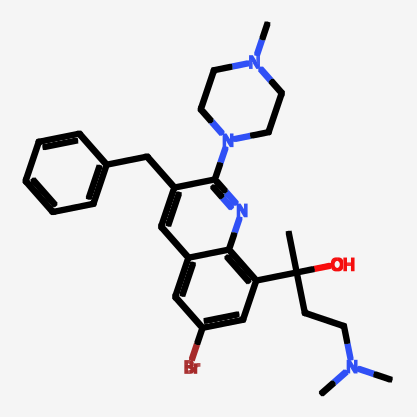 CN(C)CCC(C)(O)c1cc(Br)cc2cc(Cc3ccccc3)c(N3CCN(C)CC3)nc12